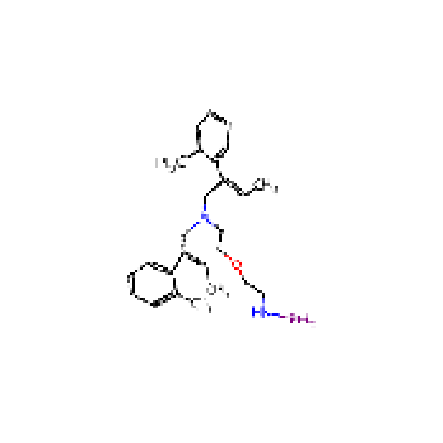 C/C=C(/CN(CCOCCNP)C/C(=C/C)c1ccccc1C)c1ccccc1C